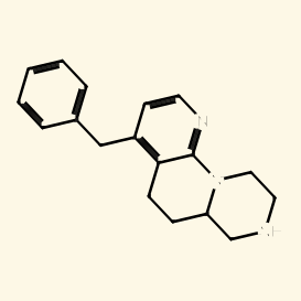 c1ccc(Cc2ccnc3c2CCC2CNCCN32)cc1